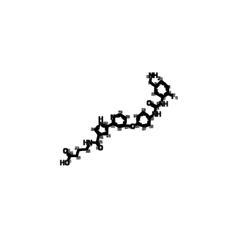 NCc1ccc(F)c(NC(=O)Nc2ccc(Oc3ccnc(-c4cc(C(=O)NCCCC(=O)O)c[nH]4)c3)cc2)c1